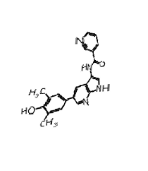 Cc1cc(-c2cnc3[nH]cc(NC(=O)c4cccnc4)c3c2)cc(C)c1O